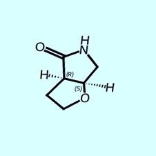 O=C1NC[C@H]2OCC[C@@H]12